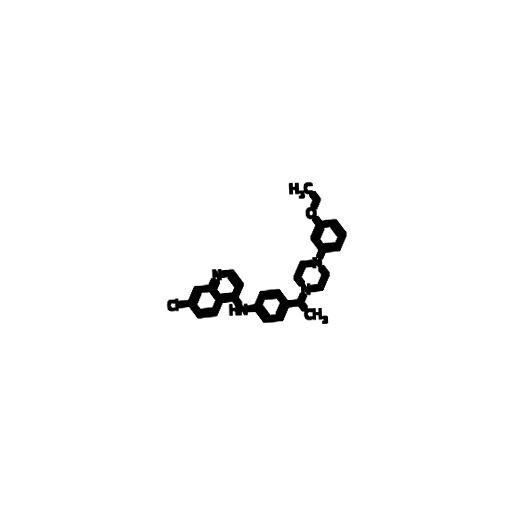 CCOc1cccc(N2CCN(C(C)c3ccc(Nc4ccnc5cc(Cl)ccc45)cc3)CC2)c1